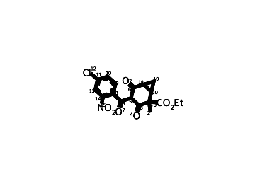 CCOC(=O)C1(C)C(=O)C(C(=O)c2ccc(Cl)cc2[N+](=O)[O-])C(=O)C2CC21